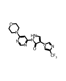 O=c1c(-n2cnc(C(F)(F)F)c2)c[nH]n1-c1cc(N2CCOCC2)ncn1